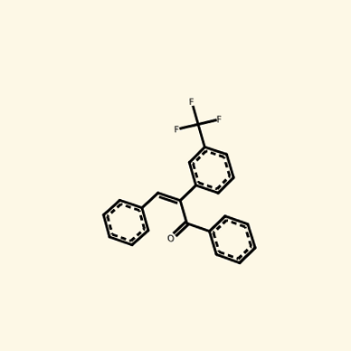 O=C(C(=Cc1ccccc1)c1cccc(C(F)(F)F)c1)c1ccccc1